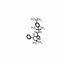 CCC(CC)(NC(=O)c1cnn2c1NC(c1ccccc1)CC2(C)C)c1ccc(N(C)C)cc1